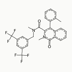 Cc1ccccc1-c1c(C(=O)N(C)Cc2cc(C(F)(F)F)cc(C(F)(F)F)c2)n(C)c(=O)c2ccccc12